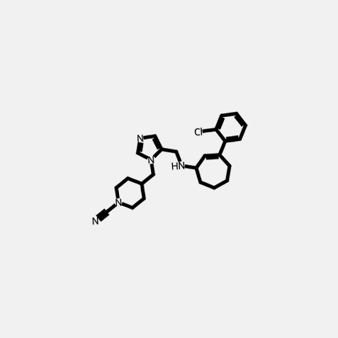 N#CN1CCC(Cn2cncc2CNC2C=C(c3ccccc3Cl)CCCC2)CC1